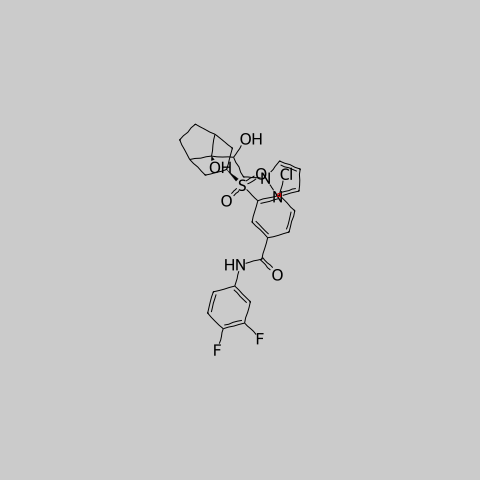 O=C(Nc1ccc(F)c(F)c1)c1ccc(Cl)c(S(=O)(=O)[C@H]2CC3CCC(C2)[C@]3(O)C(O)Cn2cccn2)c1